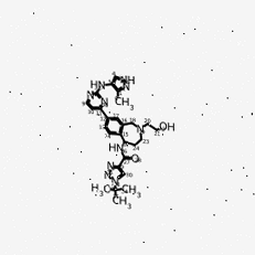 Cc1n[nH]cc1Nc1nccc(-c2ccc3c(c2)CN(CCO)CC[C@@H]3NC(=O)c2cn(C(C)(C)C)nn2)n1